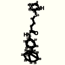 O=C(CCCSc1nnc[nH]1)Nc1ccc(C23CC4CC(CC(C4)C2)C3)cc1